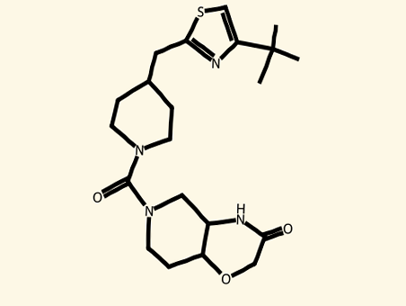 CC(C)(C)c1csc(CC2CCN(C(=O)N3CCC4OCC(=O)NC4C3)CC2)n1